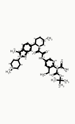 CCc1cc(NC(=O)C(=O)N2C[C@@H](C)CCC2c2ccc3c(C)n(C4CCN(C)CC4)nc3c2)cnc1N(C(=O)O)C(=O)OC(C)(C)C